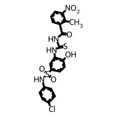 Cc1c(C(=O)NC(=S)Nc2cc(S(=O)(=O)Nc3ccc(Cl)cc3)ccc2O)cccc1[N+](=O)[O-]